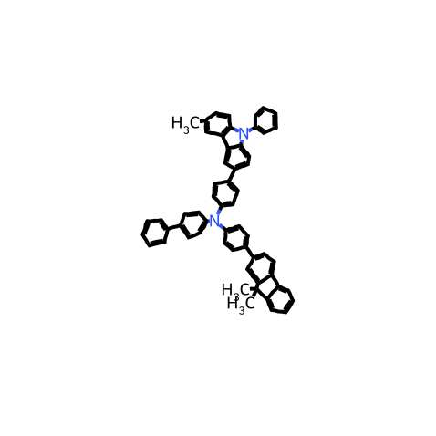 Cc1ccc2c(c1)c1cc(-c3ccc(N(c4ccc(-c5ccccc5)cc4)c4ccc(-c5ccc6c(c5)C(C)(C)c5ccccc5-6)cc4)cc3)ccc1n2-c1ccccc1